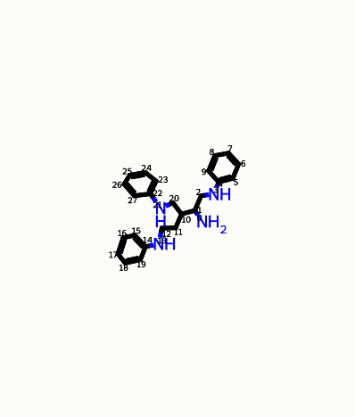 NC(CNc1ccccc1)C(CCNc1ccccc1)CNc1ccccc1